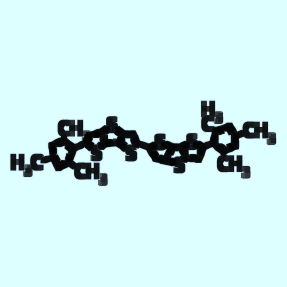 Cc1cc(C)c(-c2cc3sc4cc(-c5cc6sc7cc(-c8c(C)cc(C)cc8C)sc7c6s5)sc4c3s2)c(C)c1